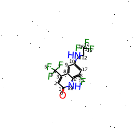 O=c1cc(C(F)(F)F)c2cc(NCC(F)(F)F)cc(F)c2[nH]1